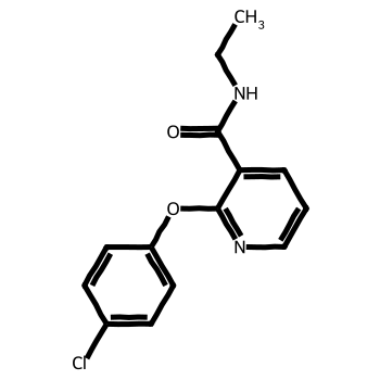 CCNC(=O)c1cccnc1Oc1ccc(Cl)cc1